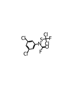 O=C(F)N(SC(F)(Cl)Cl)c1cc(Cl)cc(Cl)c1